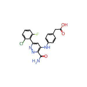 NC(=O)c1nnc(-c2c(F)cccc2Cl)cc1Nc1ccc(CC(=O)O)cc1